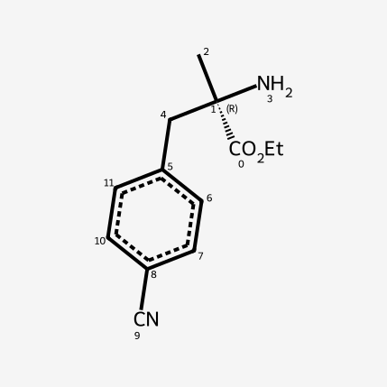 CCOC(=O)[C@](C)(N)Cc1ccc(C#N)cc1